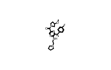 COC1CCN(C(=O)c2cnc(NCCN3CCCC3)c([C@H](C)c3ccc(F)cc3)n2)C1